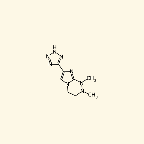 CN1CCn2cc(-c3nn[nH]n3)nc2N1C